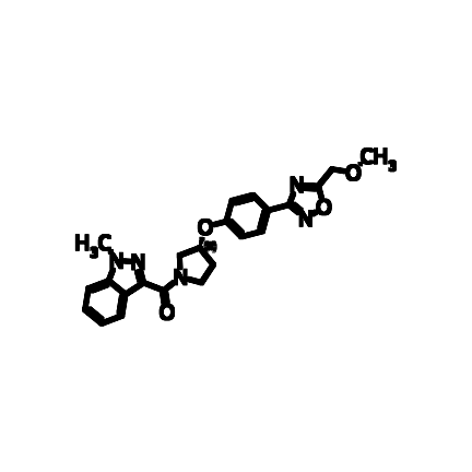 COCc1nc(-c2ccc(O[C@@H]3CCN(C(=O)c4nn(C)c5ccccc45)C3)cc2)no1